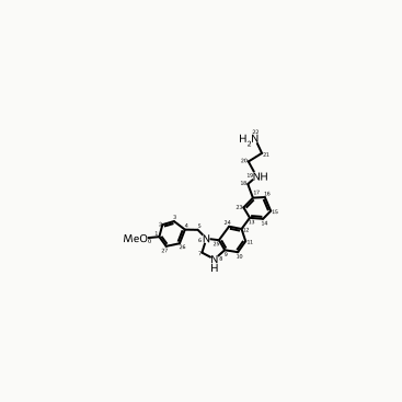 COc1ccc(CN2CNc3ccc(-c4cccc(CNCCN)c4)cc32)cc1